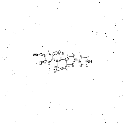 COc1cc(OC)c(C2=CN3C=CC(N4CCNCC4)=CC3=CC3CC23)cc1Cl